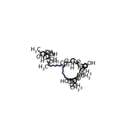 CC[C@H]1C[C@H](C)[C@@]2(NC1=O)O[C@@H](C[C@H](O)[C@@H](C)CC/C=C/C=C(\C)[C@@H]1C/C=C/C=C/[C@H](O)[C@H](C)[C@H]3O[C@](C)(OC)CC[C@H]3C(=O)N[C@@H](C(C)C)C(=O)N[C@@H](Cc3cccc(O)c3)C(=O)N3CCCC(N3)C(=O)O1)[C@H](C)[C@H](O)[C@@H]2C